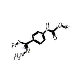 CCS/C(=N\N)c1ccc(NC(=O)OC(C)C)cc1